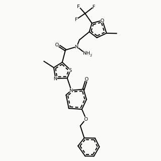 Cc1cc(CN(N)C(=O)c2sc(-n3ccc(OCc4ccccc4)cc3=O)nc2C)c(C(F)(F)F)o1